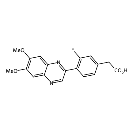 COc1cc2ncc(-c3ccc(CC(=O)O)cc3F)nc2cc1OC